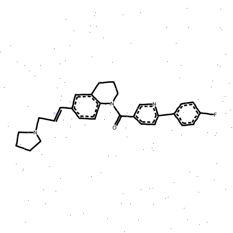 O=C(c1ccc(-c2ccc(F)cc2)nc1)N1CCCc2cc(/C=C/CN3CCCC3)ccc21